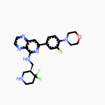 Fc1cc(-c2cc3nccnc3c(NC[C@@H]3CNCCC3(F)F)n2)ccc1N1CCOCC1